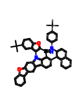 CC(C)(C)c1ccc(Nc2ccc3ccccc3c2-c2ccc3c4cc5c(cc4n4c3c2Bc2oc3ccc(C(C)(C)C)cc3c2-4)oc2ccccc25)cc1